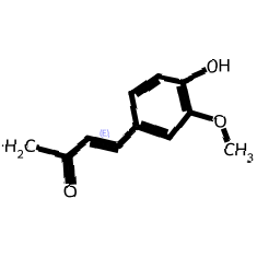 [CH2]C(=O)/C=C/c1ccc(O)c(OC)c1